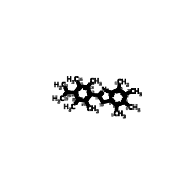 Cc1c(C)c(C)c2c(c1C)CC(c1c(C)c(C)c(C(C)C)c(C)c1C)=N2